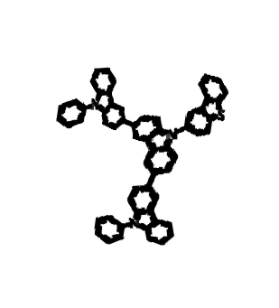 c1ccc(-n2c3ccccc3c3cc(-c4ccc5c(c4)c4cc(-c6ccc7c(c6)c6ccccc6n7-c6ccccc6)ccc4n5-c4ccc5sc6ccccc6c5c4)ccc32)cc1